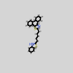 C(=CC=C1Nc2ccccc2S1)C=Cc1nc2c3ccccc3c3ccccc3c2s1